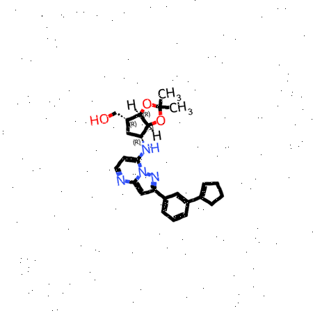 CC1(C)O[C@@H]2[C@@H](CO)C[C@@H](Nc3ccnc4cc(-c5cccc(C6=CCCC6)c5)nn34)[C@@H]2O1